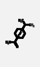 CC(C)C12CCC(C(N)=O)(CC1)CC2